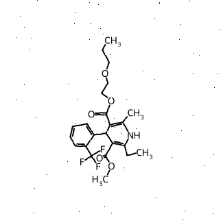 CCCOCCOC(=O)C1=C(C)NC(CC)=C(C(=O)OC)C1c1ccccc1C(F)(F)F